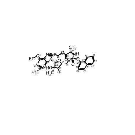 CCOc1nc(C)nc2c1ncn2[C@@H]1O[C@H](COP(=O)(N[C@@H](C)C(=O)OCC(C)(C)C)Oc2cccc3ccccc23)[C@@H](F)[C@@]1(C)O